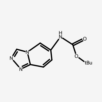 CC(C)(C)OC(=O)Nc1ccc2nncn2c1